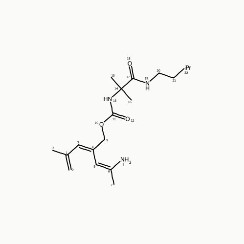 C=C(C)/C=C(\C=C(\C)N)COC(=O)NC(C)(C)C(=O)NCCC(C)C